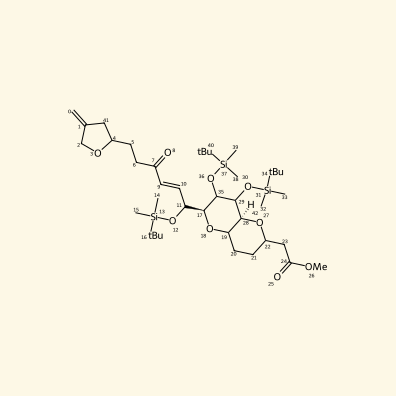 C=C1COC(CCC(=O)/C=C/C(O[Si](C)(C)C(C)(C)C)[C@@H]2OC3CCC(CC(=O)OC)O[C@@H]3C(O[Si](C)(C)C(C)(C)C)C2O[Si](C)(C)C(C)(C)C)C1